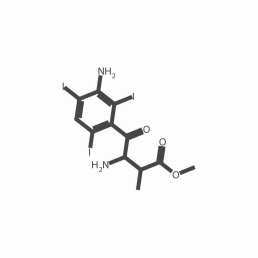 COC(=O)C(C)C(N)C(=O)c1c(I)cc(I)c(N)c1I